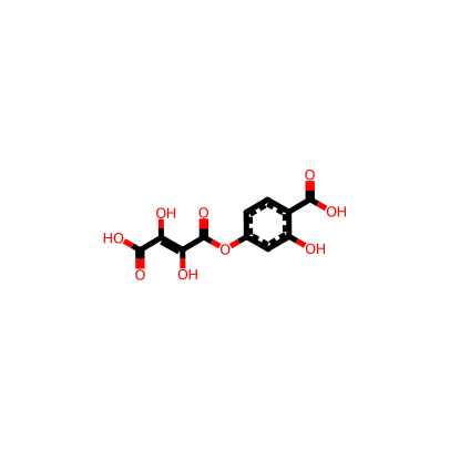 O=C(O)/C(O)=C(\O)C(=O)Oc1ccc(C(=O)O)c(O)c1